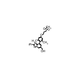 Cc1cc(OCCCS(C)(=O)=O)cc(C)c1-c1cc(CO)cn2nc(C(C)C)nc12